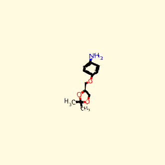 CC1(C)OC[C@H](COc2ccc(N)cc2)O1